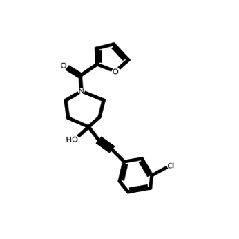 O=C(c1ccco1)N1CCC(O)(C#Cc2cccc(Cl)c2)CC1